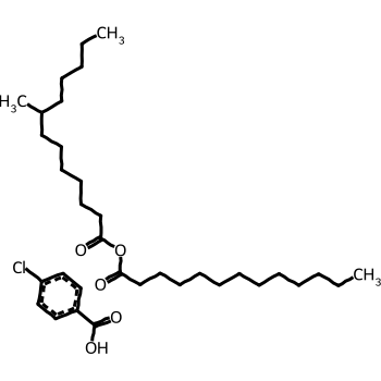 CCCCCCCCCCCCC(=O)OC(=O)CCCCCCC(C)CCCCC.O=C(O)c1ccc(Cl)cc1